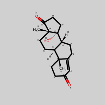 C[C@]12CCC(=O)C=C1CC[C@@H]1[C@@H]2CC[C@]2(C)C(=O)CC[C@@]12O